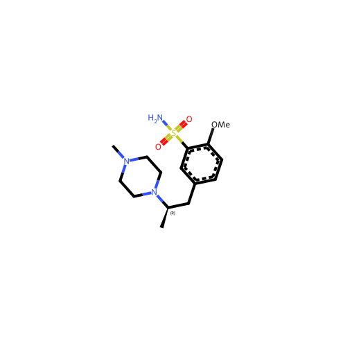 COc1ccc(C[C@@H](C)N2CCN(C)CC2)cc1S(N)(=O)=O